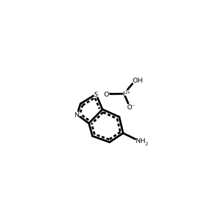 Nc1ccc2ncsc2c1.[O-][I+2]([O-])O